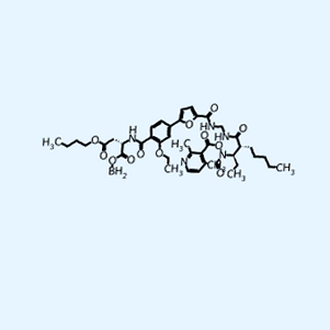 BOC(=O)[C@H](CC(=O)OCCCC)NC(=O)c1ccc(-c2ccc(C(=O)NCNC(=O)[C@H](CCCCC)[C@@H](CC)N(C=O)OC(=O)c3c(C)ccnc3C)o2)cc1OCC